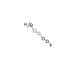 COCCCC1CCC(C2CCC(CCc3ccc(-c4ccc(CCF)cc4)cc3)CC2)CC1